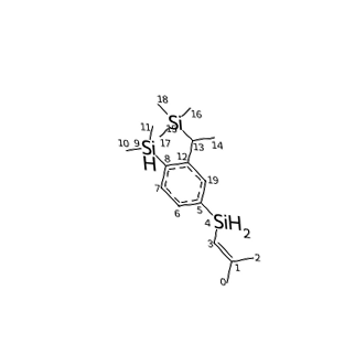 CC(C)=C[SiH2]c1ccc([SiH](C)C)c(C(C)[Si](C)(C)C)c1